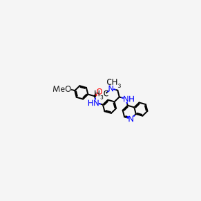 COc1ccc(C(=O)Nc2cccc(C(CN(C)C)Nc3ccnc4ccccc34)c2)cc1